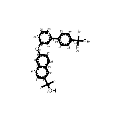 CC(C)(O)c1cnc2cc(Oc3cc(-c4ccc(C(F)(F)F)cc4)ncn3)ccc2c1